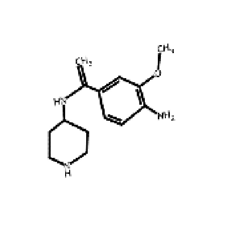 C=C(NC1CCNCC1)c1ccc(N)c(OC)c1